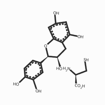 N[C@@H](CS)C(=O)O.Oc1cc(O)c2c(c1)O[C@H](c1ccc(O)c(O)c1)[C@H](O)C2